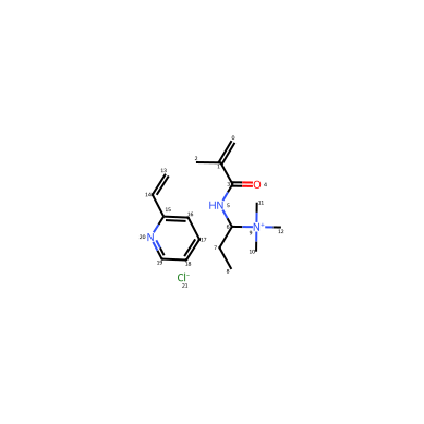 C=C(C)C(=O)NC(CC)[N+](C)(C)C.C=Cc1ccccn1.[Cl-]